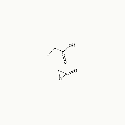 CCC(=O)O.O=C1CO1